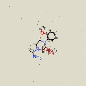 Br.Br.Br.CC(C)Oc1ccccc1N1CCN(C(C)N)CC1